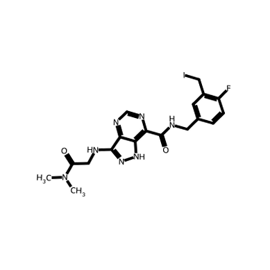 CN(C)C(=O)CNc1n[nH]c2c(C(=O)NCc3ccc(F)c(CI)c3)ncnc12